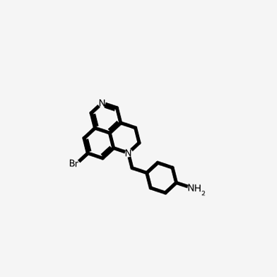 NC1CCC(CN2CCc3cncc4cc(Br)cc2c34)CC1